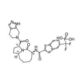 O=C(N[C@H]1CCCC[C@H]2CC[C@@H](C(=O)N3CCc4cn[nH]c4C3)N2C1=O)c1cc2cc(C(F)(F)P(=O)(O)O)ccc2s1